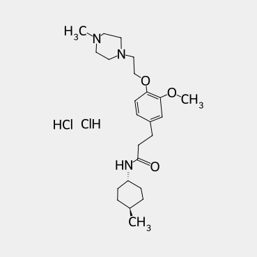 COc1cc(CCC(=O)N[C@H]2CC[C@H](C)CC2)ccc1OCCN1CCN(C)CC1.Cl.Cl